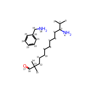 CC(C)C(N)CCCCCCCCC(C)(C)C=O.NCc1ccccc1